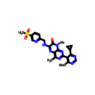 CC[C@H](C)n1c(=O)c(NCc2ccc(S(C)(=O)=O)cn2)nc2c(C)nc(-c3c(OC)ncnc3C3CC3)nc21